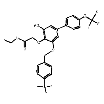 CCOC(=O)COc1c(O)cc(-c2ccc(OC(F)(F)F)cc2)cc1OCc1ccc(C(C)(C)C)cc1